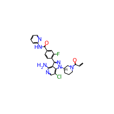 C=CC(=O)N1CCC[C@@H](n2nc(-c3ccc(C(=O)Nc4ccccn4)cc3F)c3c(N)ncc(Cl)c32)C1